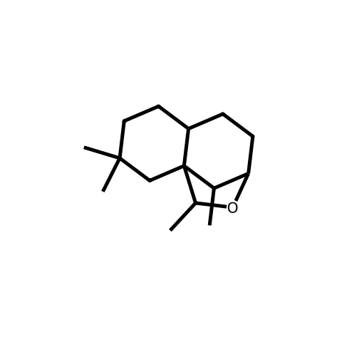 CC1OC2CCC3CCC(C)(C)CC31C2C